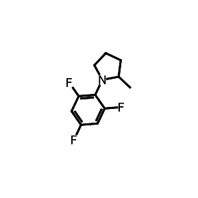 CC1CCCN1c1c(F)cc(F)cc1F